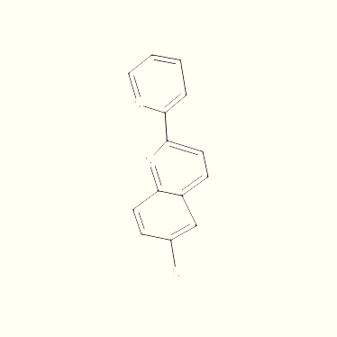 Nc1ccc2nc(-c3ccccn3)ccc2c1